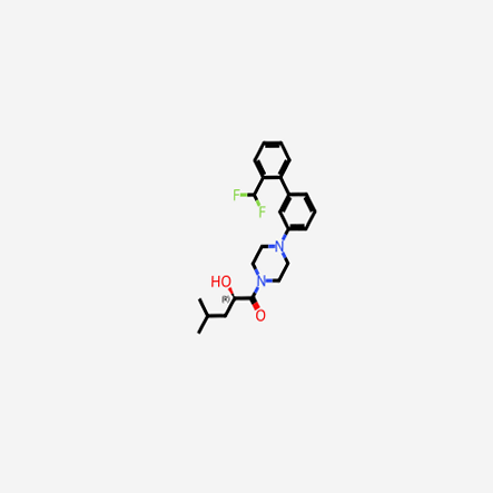 CC(C)C[C@@H](O)C(=O)N1CCN(c2cccc(-c3ccccc3C(F)F)c2)CC1